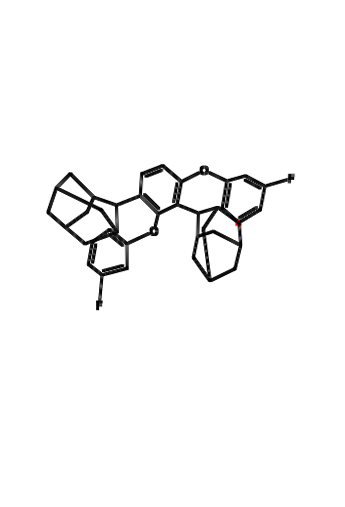 Fc1cccc(Oc2ccc(C3C4CC5CC(C4)CC3C5)c(Oc3cccc(F)c3)c2C2C3CC4CC(C3)CC2C4)c1